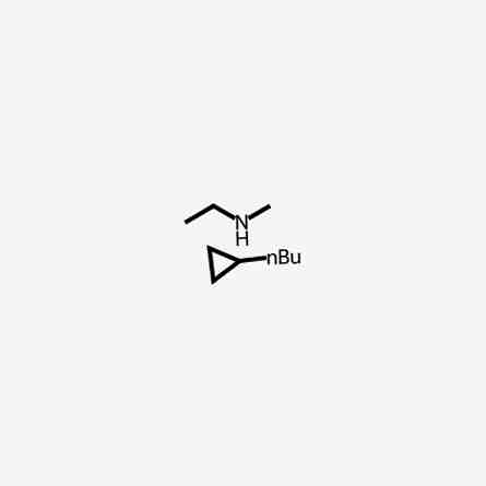 CCCCC1CC1.CCNC